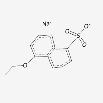 CCOc1cccc2c(S(=O)(=O)[O-])cccc12.[Na+]